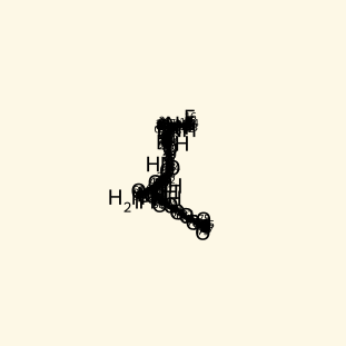 Cc1cccc(-c2nc(CNc3cccc(F)c3)[nH]c2-c2ccc3ncc(OCCCCNC(=O)OCc4ccc(NC(=O)C(CCCNC(N)=O)NC(=O)[C@@H](NC(=O)CCOCCOCCOCCOCCN5C(=O)C=CC5=O)C(C)C)cc4)cc3c2)n1